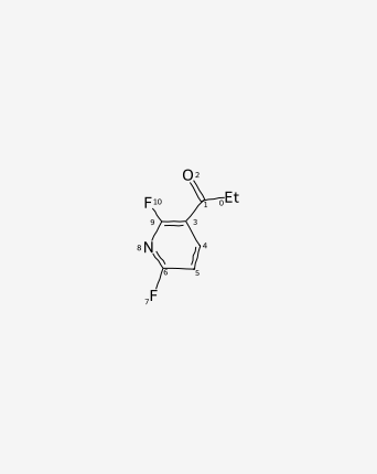 CCC(=O)c1ccc(F)nc1F